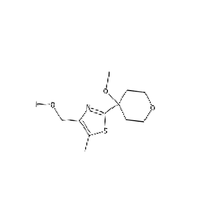 Cc1sc(C2(OI)CCOCC2)nc1COI